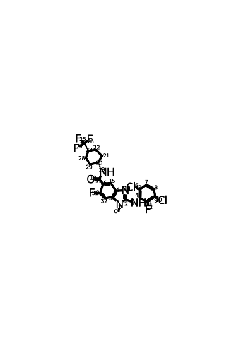 Cn1c(Nc2c(Cl)ccc(Cl)c2F)nc2cc(C(=O)N[C@H]3CC[C@H](C(F)(F)F)CC3)c(F)cc21